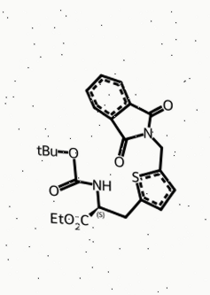 CCOC(=O)[C@H](Cc1ccc(CN2C(=O)c3ccccc3C2=O)s1)NC(=O)OC(C)(C)C